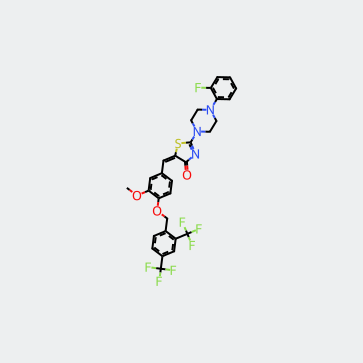 COc1cc(C=C2SC(N3CCN(c4ccccc4F)CC3)=NC2=O)ccc1OCc1ccc(C(F)(F)F)cc1C(F)(F)F